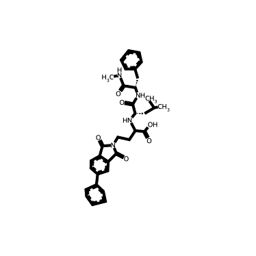 CNC(=O)[C@H](Cc1ccccc1)NC(=O)[C@H](CC(C)C)NC(CCN1C(=O)c2ccc(-c3ccccc3)cc2C1=O)C(=O)O